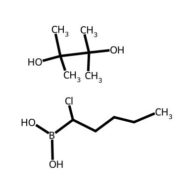 CC(C)(O)C(C)(C)O.CCCCC(Cl)B(O)O